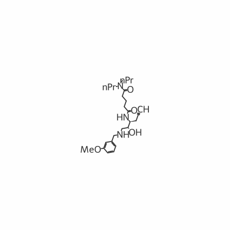 C#CC[C@H](NC(=O)CCCC(=O)N(CCC)CCC)[C@H](O)CNCc1cccc(OC)c1